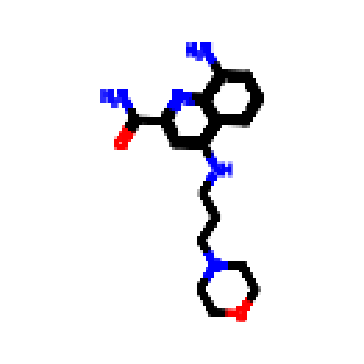 NC(=O)c1[c]c(NCCCN2CCOCC2)c2cccc(N)c2n1